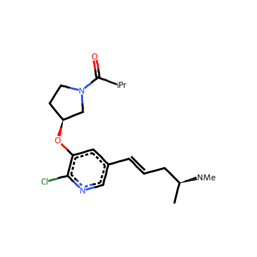 CN[C@@H](C)C/C=C/c1cnc(Cl)c(O[C@H]2CCN(C(=O)C(C)C)C2)c1